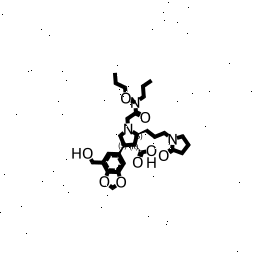 CCCON(CCC)C(=O)CN1C[C@H](c2cc(CO)c3c(c2)OCO3)[C@@H](C(=O)O)[C@@H]1CCCN1CCCC1=O